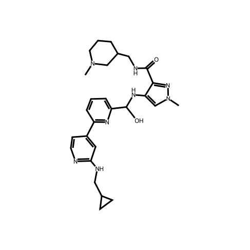 CN1CCCC(CNC(=O)c2nn(C)cc2NC(O)c2cccc(-c3ccnc(NCC4CC4)c3)n2)C1